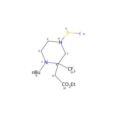 CCCCN1CCN(SI)CC1(CC(=O)OCC)C(F)(F)F